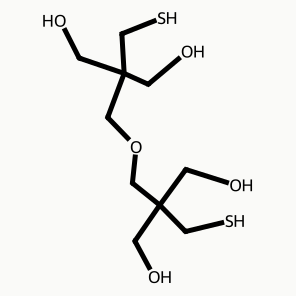 OCC(CO)(CS)COCC(CO)(CO)CS